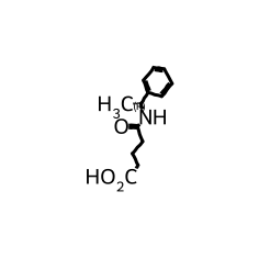 C[C@@H](NC(=O)CCCC(=O)O)c1ccccc1